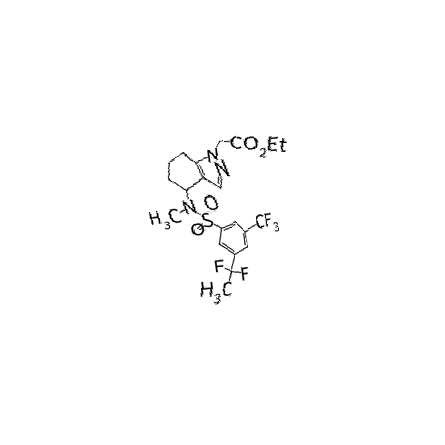 CCOC(=O)Cn1ncc2c1CCCC2N(C)S(=O)(=O)c1cc(C(C)(F)F)cc(C(F)(F)F)c1